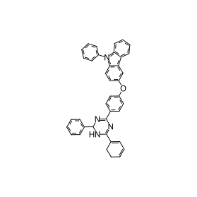 C1=CCCC(C2=NC(c3ccc(Oc4ccc5c(c4)c4ccccc4n5-c4ccccc4)cc3)=NC(c3ccccc3)N2)=C1